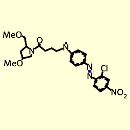 COCC1CC(OC)CN1C(=O)CCCN(C)c1ccc(/N=N/c2ccc([N+](=O)[O-])cc2Cl)cc1